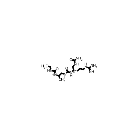 CCNC(=O)NC(C)CNC(=O)N[C@@H](CCCNC(=N)N)CNC(N)=O